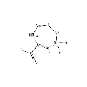 C=C(C)C1=NC(C)(C)CCCN1